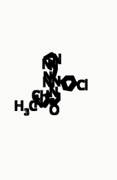 CN(C)C=C1CN(c2nnc(Cn3nccn3)n2-c2ccc(Cl)cc2)CCC1=O